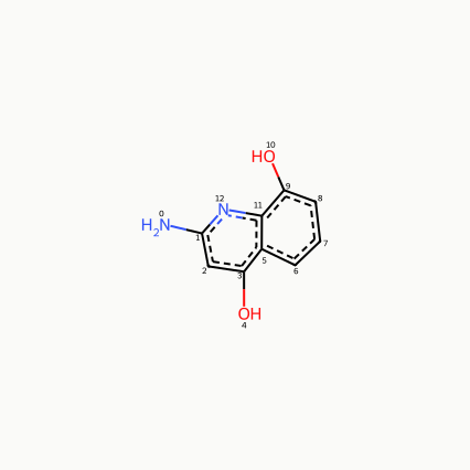 Nc1cc(O)c2cccc(O)c2n1